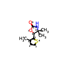 Cc1ccsc1C1OC(=O)NC1(C)C